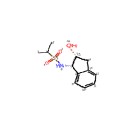 CC(C)S(=O)(=O)N[C@H]1c2ccccc2C[C@H]1O